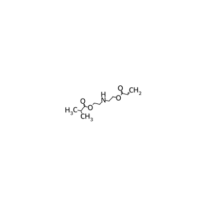 C=CC(=O)OCCNCCOC(=O)C(C)C